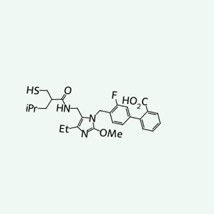 CCc1nc(OC)n(Cc2ccc(-c3ccccc3C(=O)O)cc2F)c1CNC(=O)C(CS)CC(C)C